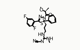 CN/C(=N/C#N)NCCC[C@@]1(c2ccccc2)SC(c2cc(F)ccc2F)=NN1C(=O)[C@H](C)OC